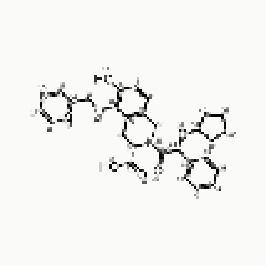 O=C(O)[C@@H]1Cc2c(ccc(O)c2OCc2cnccn2)CN1C(=O)[C@@H](OC1CCCC1)c1ccccc1